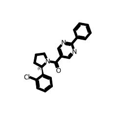 O=C(c1cnc(-c2ccccc2)nc1)N1CCC[C@@H]1c1ccccc1Cl